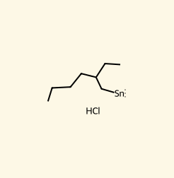 CCCCC(CC)[CH2][Sn].Cl